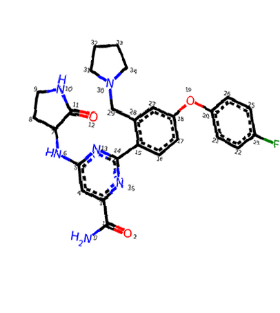 NC(=O)c1cc(NC2CCNC2=O)nc(-c2ccc(Oc3ccc(F)cc3)cc2CN2CCCC2)n1